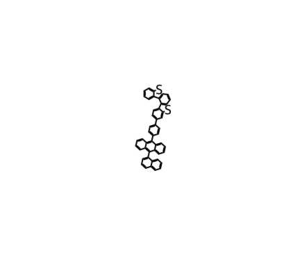 c1ccc2c(-c3c4ccccc4c(-c4ccc(-c5ccc6c(c5)sc5ccc7sc8ccccc8c7c56)cc4)c4ccccc34)cccc2c1